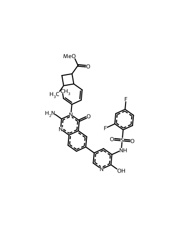 C/C=C(\C=C/C1C(C)CC1C(=O)OC)n1c(N)nc2ccc(-c3cnc(O)c(NS(=O)(=O)c4ccc(F)cc4F)c3)cc2c1=O